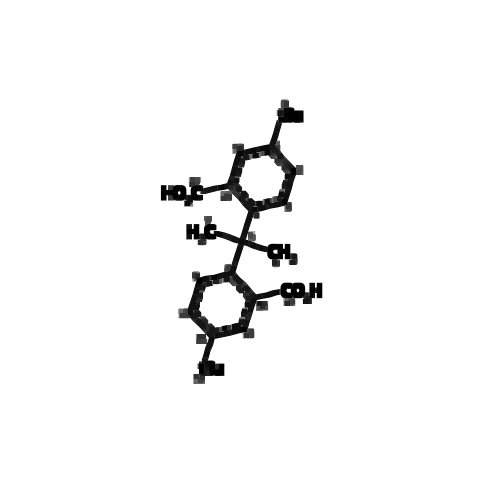 CC(C)(C)c1ccc(C(C)(C)c2ccc(C(C)(C)C)cc2C(=O)O)c(C(=O)O)c1